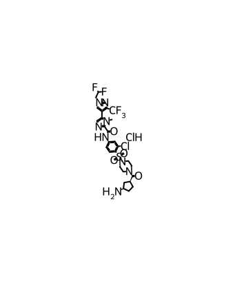 Cl.Cn1c(-c2cn(CC(F)F)nc2C(F)(F)F)cnc1C(=O)Nc1ccc(S(=O)(=O)N2CCN(C(=O)[C@H]3CC[C@@H](N)C3)CC2)c(Cl)c1